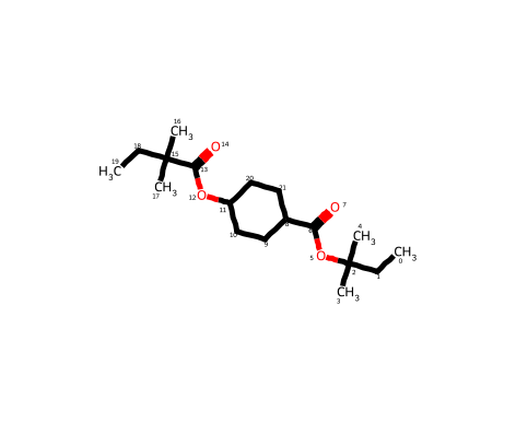 CCC(C)(C)OC(=O)C1CCC(OC(=O)C(C)(C)CC)CC1